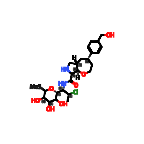 CSC1O[C@H]([C@H](NC(=O)[C@H]2NC[C@@H]3C[C@H](c4ccc(CO)cc4)CCO[C@H]32)[C@H](C)Cl)C(O)[C@@H](O)[C@H]1O